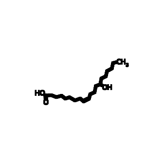 CCCCCCC(O)CCC/C=C\CCCCCCCC(=O)O